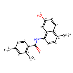 Cc1ccc(C(=O)Nc2ccc(S(=O)(=O)O)c3ccc(O)cc23)c([N+](=O)[O-])c1